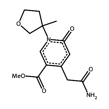 COC(=O)c1cn(C2(C)CCOC2)c(=O)cc1CC(N)=O